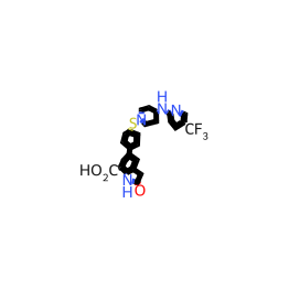 O=C1Cc2cc(-c3ccc(SN4CCC(Nc5ccc(C(F)(F)F)cn5)CC4)cc3)cc(C(=O)O)c2N1